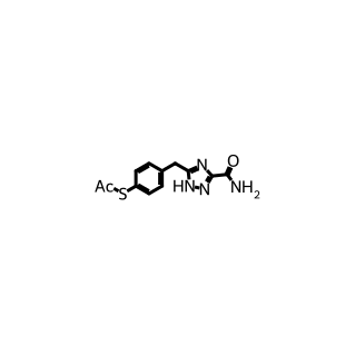 CC(=O)Sc1ccc(Cc2nc(C(N)=O)n[nH]2)cc1